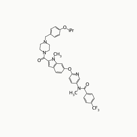 CC(C)Oc1ccc(CN2CCN(C(=O)c3cc4ccc(Oc5ccc(N(C)C(=O)c6ccc(C(F)(F)F)cc6)cn5)cc4n3C)CC2)cc1